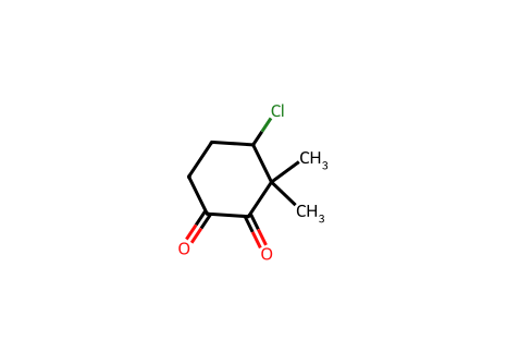 CC1(C)C(=O)C(=O)CCC1Cl